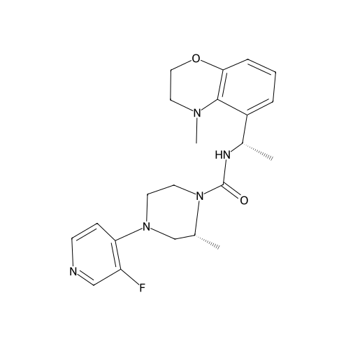 C[C@H](NC(=O)N1CCN(c2ccncc2F)C[C@H]1C)c1cccc2c1N(C)CCO2